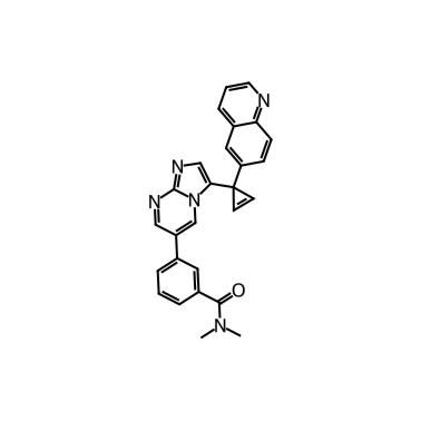 CN(C)C(=O)c1cccc(-c2cnc3ncc(C4(c5ccc6ncccc6c5)C=C4)n3c2)c1